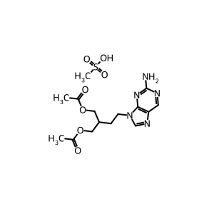 CC(=O)OCC(CCn1cnc2cnc(N)nc21)COC(C)=O.CS(=O)(=O)O